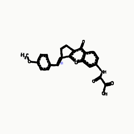 COc1ccc(/C=C2\CCc3c2oc2cc(NC(=O)C(=O)O)ccc2c3=O)cc1